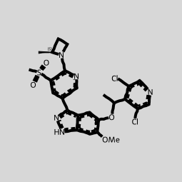 COc1cc2[nH]nc(-c3cnc(N4CC[C@@H]4C)c(S(C)(=O)=O)c3)c2cc1OC(C)c1c(Cl)cncc1Cl